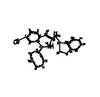 Clc1ccc2c(c1)C(c1ccccc1)NC(NC1CCc3ccccc31)=N2